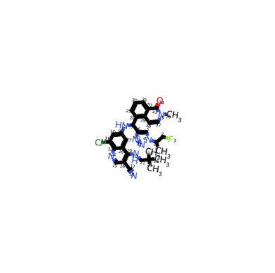 CC(CF)n1cc(C(Nc2cc(Cl)c3ncc(C#N)c(NCC(C)(C)C)c3c2)c2cccc3c(=O)n(C)ccc23)nn1